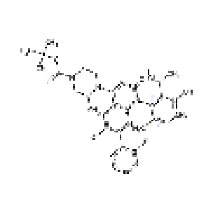 C/C=C(C)\C(=C(/NO)C(C)C)n1c(=O)nc(N2CCN(C(=O)OC(C)(C)C)CC2C)c2cc(Cl)c(-c3ccccc3F)nc21